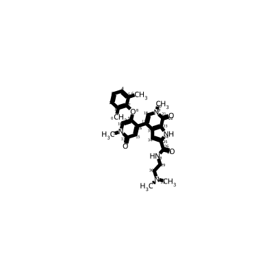 Cc1cccc(C)c1Oc1cn(C)c(=O)cc1-c1cn(C)c(=O)c2[nH]c(C(=O)NCCN(C)C)cc12